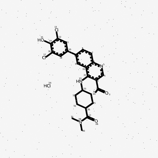 CC(=O)c1cnc2ccc(-c3cc(Cl)c(O)c(Cl)c3)cc2c1NC1CCC(C(=O)N(C)C)CC1.Cl